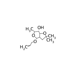 C=CCO[C@@H]1OC(C)[C@H](O)C2OC(C)(C)CC21